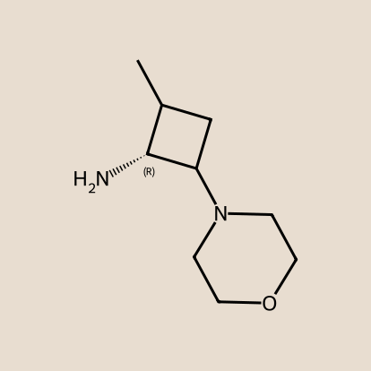 CC1CC(N2CCOCC2)[C@@H]1N